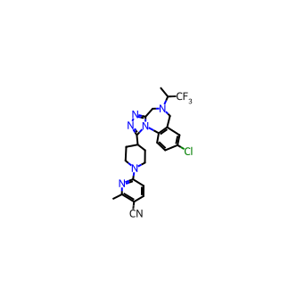 Cc1nc(N2CCC(c3nnc4n3-c3ccc(Cl)cc3CN(C(C)C(F)(F)F)C4)CC2)ccc1C#N